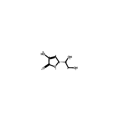 O=C1O[C@@H](C(O)CO)C=C1O